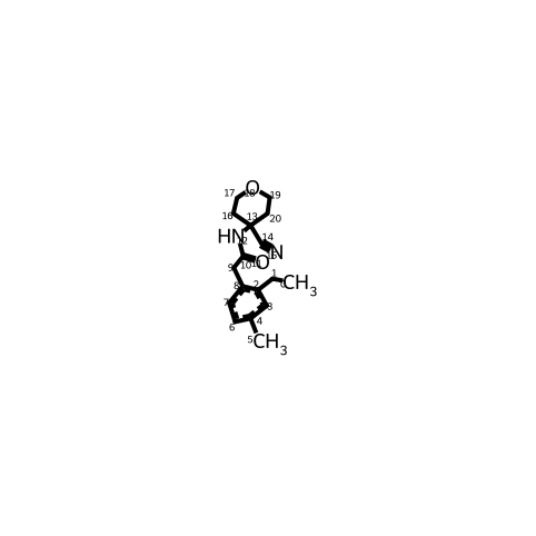 CCc1cc(C)ccc1CC(=O)NC1(C#N)CCOCC1